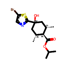 CC(C)OC(=O)[C@H]1[C@H](C)C[C@](O)(c2ncc(Br)s2)C[C@@H]1C